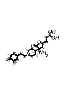 NC(CCCCB(O)O)(C(=O)O)C1CCN(CCc2ccc(F)c(F)c2)CC1